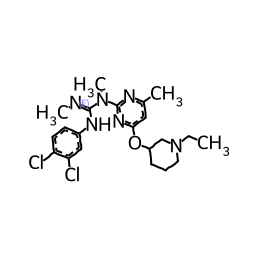 CCN1CCCC(Oc2cc(C)nc(N(C)/C(=N/C)Nc3ccc(Cl)c(Cl)c3)n2)C1